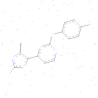 Cc1nc(N)sc1-c1ccnc(Nc2ccc(N=O)cc2)n1